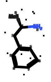 CS[C@@H](N)Cc1ccccc1